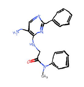 CN(C(=O)CNc1nc(-c2ccccc2)ncc1N)c1ccccc1